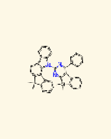 CC1(C)c2ccccc2-c2c1ccc1c3ccccc3n(-c3nc(-c4ccccc4)c4c(n3)[Si](C)(C)c3ccccc3-4)c21